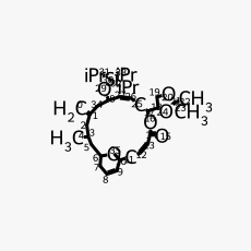 C=C1CC(C)CC2CC=CC(CC=CC(=O)OC(C3COC(C)(C)O3)CC=CC(O[Si](C(C)C)(C(C)C)C(C)C)C1)O2